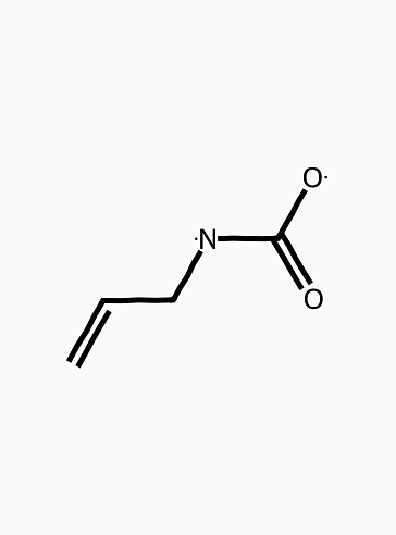 C=CC[N]C([O])=O